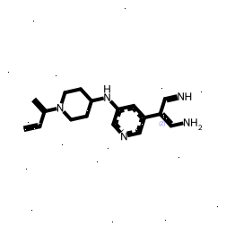 C=CC(=C)N1CCC(Nc2cncc(/C(C=N)=C/N)c2)CC1